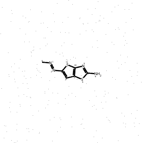 C/N=N/c1cc2sc(N)nc2s1